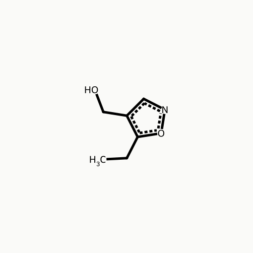 CCc1oncc1CO